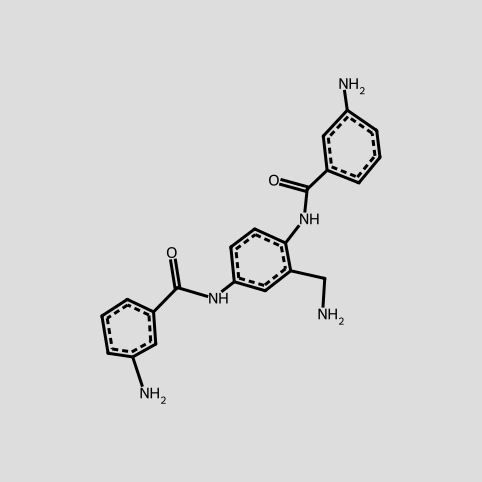 NCc1cc(NC(=O)c2cccc(N)c2)ccc1NC(=O)c1cccc(N)c1